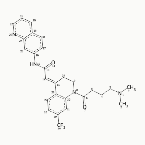 CN(C)CCCC(=O)N1CCC(=CC(=O)Nc2ccc3cccnc3c2)c2ccc(C(F)(F)F)cc21